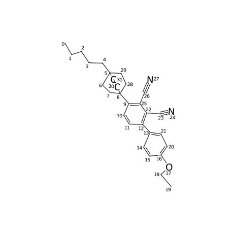 CCCCCC12CCC(c3ccc(-c4ccc(OCC)cc4)c(C#N)c3C#N)(CC1)CC2